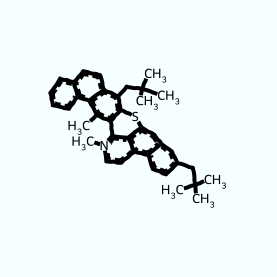 Cc1c2c(c(CC(C)(C)C)c3ccc4ccccc4c13)Sc1cc3cc(CC(C)(C)C)ccc3c3cc[n+](C)c-2c13